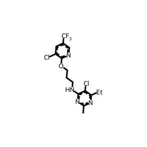 CCc1nc(C)nc(NCCCOc2ncc(C(F)(F)F)cc2Cl)c1Cl